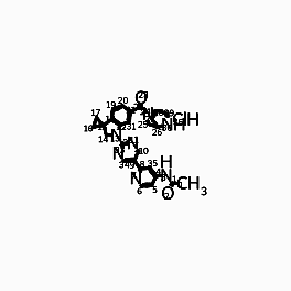 CC(=O)Nc1ccnc(-c2cnc(N3CC4(CC4)c4ccc(C(=O)N5CC6CC5CN6)cc43)nc2)c1.Cl